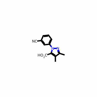 Cc1nn(-c2cccc(C#N)c2)c(C(=O)O)c1C